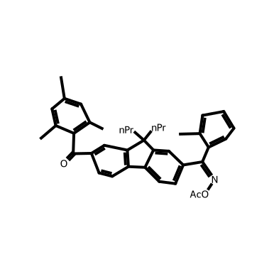 CCCC1(CCC)c2cc(C(=O)c3c(C)cc(C)cc3C)ccc2-c2ccc(/C(=N\OC(C)=O)c3ccccc3C)cc21